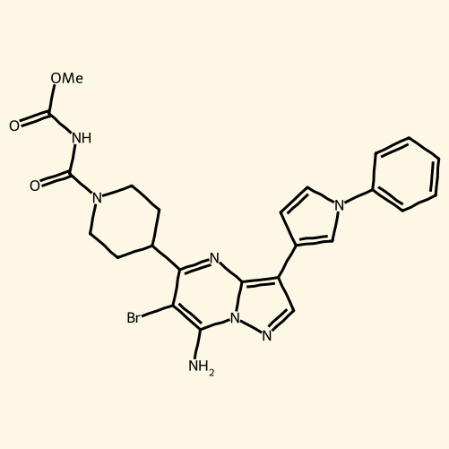 COC(=O)NC(=O)N1CCC(c2nc3c(-c4ccn(-c5ccccc5)c4)cnn3c(N)c2Br)CC1